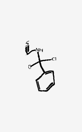 S=[C]NC(Cl)(Cl)c1ccccc1